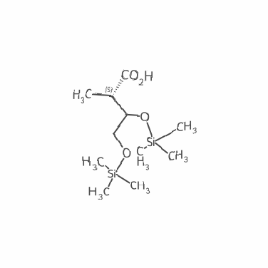 C[C@H](C(=O)O)C(CO[Si](C)(C)C)O[Si](C)(C)C